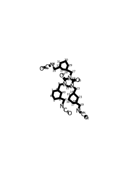 O=C=NCC1CCCC(CN2CN(CC3CCCC(CN=C=O)C3)C(=O)N(CC3CCCC(CN=C=O)C3)C2=O)C1